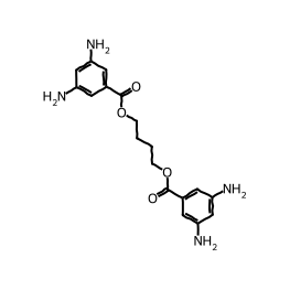 Nc1cc(N)cc(C(=O)OCCCCOC(=O)c2cc(N)cc(N)c2)c1